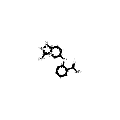 CCCC(=O)c1ccccc1Sc1ccc2nnc(C(C)C)n2c1